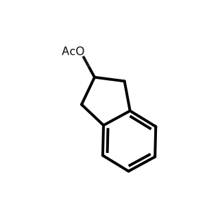 CC(=O)OC1Cc2ccccc2C1